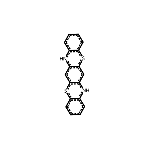 c1ccc2sc3cc4[nH]c5ccccc5sc4cc3[nH]c2c1